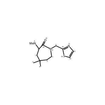 CNC1CC(C)(C)CCN(Cc2nccs2)C1=O